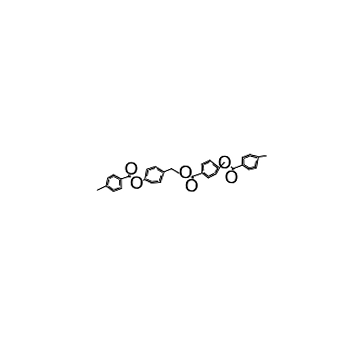 Cc1ccc(C(=O)Oc2ccc(CCOC(=O)c3ccc(OC(=O)c4ccc(C)cc4)cc3)cc2)cc1